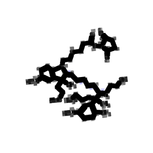 COCCC1(C)\C(=C/C=C/C=C/C(=N\CCO)C(C)(CCCS(=O)(=O)O)c2cc(S(=O)(=O)O)ccc2C)N(CCOCCC(=O)ON2C(=O)CCC2=O)c2ccc(S(=O)(=O)O)cc21